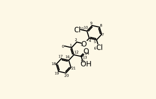 CC(COc1c(Cl)cccc1Cl)=C(C(=O)O)c1ccccc1